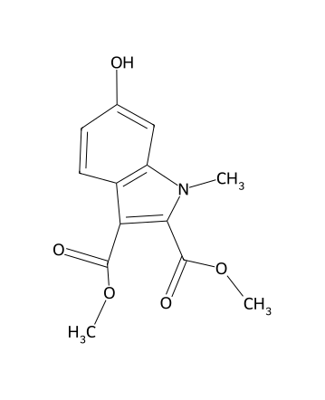 COC(=O)c1c(C(=O)OC)n(C)c2cc(O)ccc12